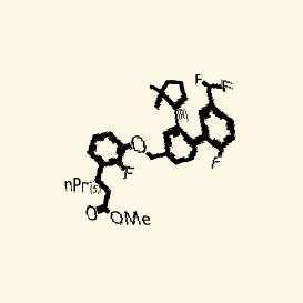 CCC[C@@H](CC(=O)OC)c1cccc(OCc2ccc(-c3cc(C(F)F)ccc3F)c([C@@H]3CCCC3(C)C)c2)c1F